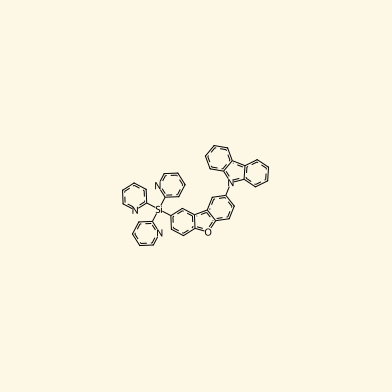 c1ccc([Si](c2ccc3oc4ccc(-n5c6ccccc6c6ccccc65)cc4c3c2)(c2ccccn2)c2ccccn2)nc1